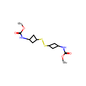 CC(C)(C)OC(=O)NC1CC(SSC2CC(NC(=O)OC(C)(C)C)C2)C1